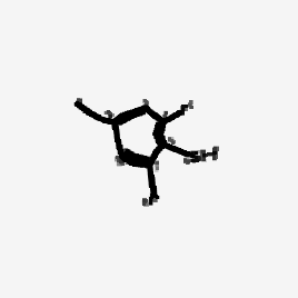 Cc1cc(F)c(S)c(F)c1